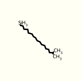 CC(C)CCCCCCCCCCCCCCC[SiH3]